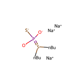 CCCCS(CCCC)=P([O-])([O-])[S-].[Na+].[Na+].[Na+]